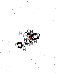 CC(C)(C)OC(=O)N1C2=COC[C@H]1C1SC(NC(=O)NC3CCOCC3)NC1=C2